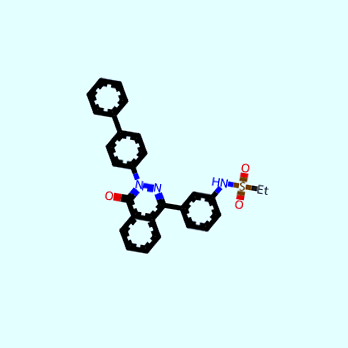 CCS(=O)(=O)Nc1cccc(-c2nn(-c3ccc(-c4ccccc4)cc3)c(=O)c3ccccc23)c1